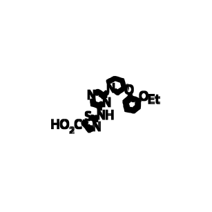 CCOc1ccccc1O[C@@H]1CCCN(c2cncc(Nc3ncc(C(=O)O)s3)n2)C1